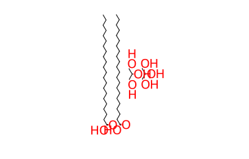 CCCCCCCCCCCCCCCCCCCCCC(=O)O.CCCCCCCCCCCCCCCCCCCCCC(=O)O.OCC(O)CO.OCC(O)CO